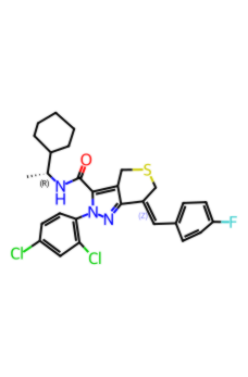 C[C@@H](NC(=O)c1c2c(nn1-c1ccc(Cl)cc1Cl)/C(=C/c1ccc(F)cc1)CSC2)C1CCCCC1